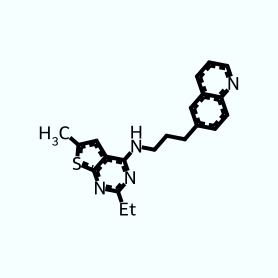 CCc1nc(NCCCc2ccc3ncccc3c2)c2cc(C)sc2n1